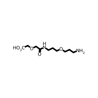 NCCCOCCCNC(=O)COCC(=O)O